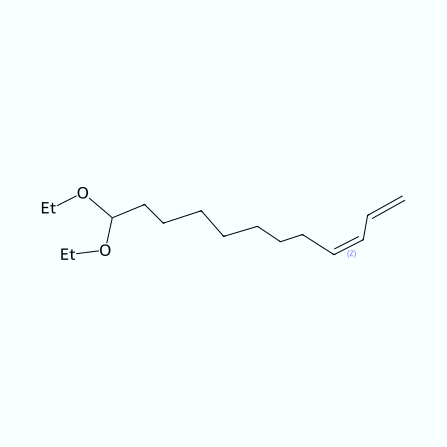 C=C/C=C\CCCCCCCC(OCC)OCC